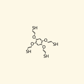 SC=COc1cc(OC=CS)c(OC=CS)cc1OC=CS